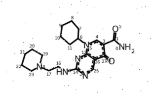 NC(=O)c1cn(C2CCCCC2)c2nc(NCCN3CCCCC3)ncc2c1=O